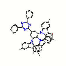 Cc1ccc2c(c1)c1cc(C)ccc1n2-c1cc(-c2nc(-c3ccccc3)nc(-c3ccccc3)n2)cc(-n2c3ccc(C)cc3c3cc(C)ccc32)c1-n1c2cc(C)ccc2c2ccc(C)cc21